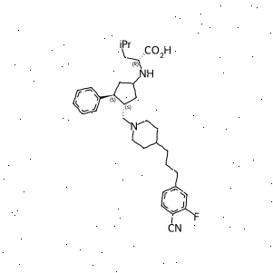 CC(C)C[C@@H](NC1C[C@H](CN2CCC(CCCc3ccc(C#N)c(F)c3)CC2)[C@@H](c2ccccc2)C1)C(=O)O